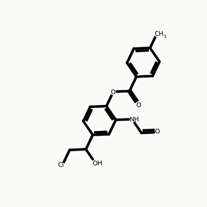 Cc1ccc(C(=O)Oc2ccc(C(O)CCl)cc2NC=O)cc1